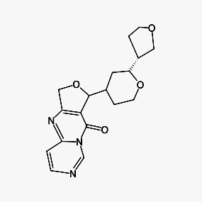 O=c1c2c(nc3ccncn13)COC2C1CCOC([C@@H]2CCOC2)C1